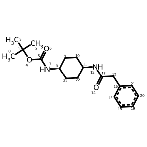 CC(C)(C)OC(=O)N[C@H]1CC[C@@H](NC(=O)Cc2ccccc2)CC1